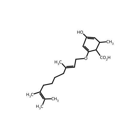 CC(C)=C(C)CCCC/C(C)=C/COC1=CC(O)=CC(C)C1C(=O)O